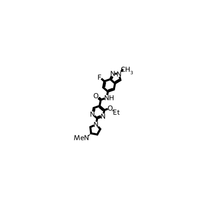 CCOc1nc(N2CC[C@H](NC)C2)ncc1C(=O)Nc1cc(F)c2nn(C)cc2c1